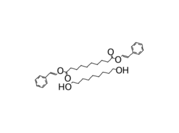 O=C(CCCCCCCCC(=O)OC=Cc1ccccc1)OC=Cc1ccccc1.OCCCCCCCCCO